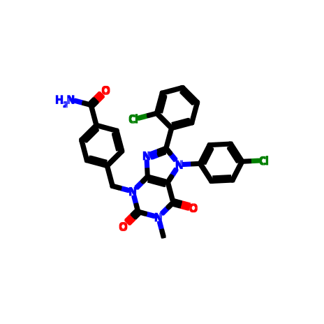 Cn1c(=O)c2c(nc(-c3ccccc3Cl)n2-c2ccc(Cl)cc2)n(Cc2ccc(C(N)=O)cc2)c1=O